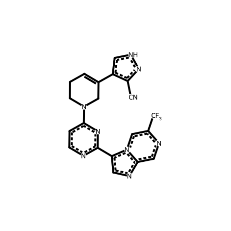 N#Cc1n[nH]cc1C1=CCCN(c2ccnc(-c3cnc4cnc(C(F)(F)F)cn34)n2)C1